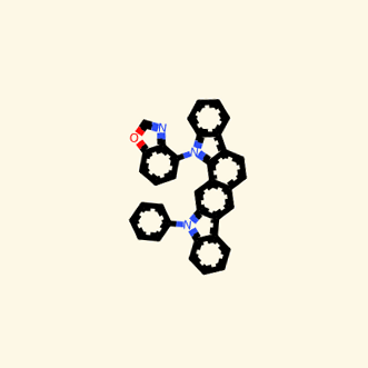 c1ccc(-n2c3ccccc3c3cc4ccc5c6ccccc6n(-c6cccc7ocnc67)c5c4cc32)cc1